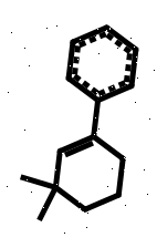 CC1(C)C=C(c2ccccc2)CCC1